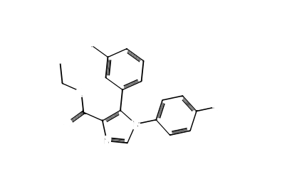 CCOC(=O)c1ncn(-c2ccc(Cl)cc2)c1-c1cccc(I)c1